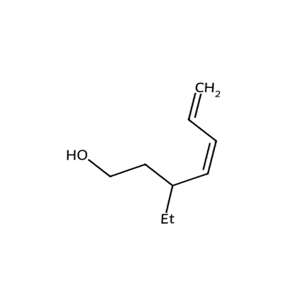 C=C/C=C\C(CC)CCO